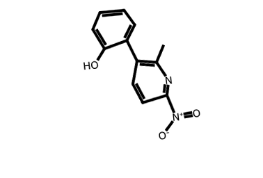 Cc1nc([N+](=O)[O-])ccc1-c1ccccc1O